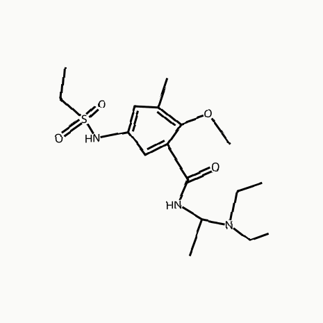 CCN(CC)C(C)NC(=O)c1cc(NS(=O)(=O)CC)cc(C)c1OC